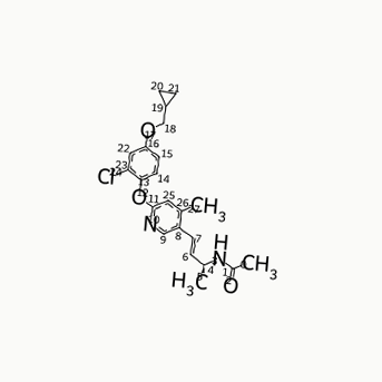 CC(=O)N[C@@H](C)/C=C/c1cnc(Oc2ccc(OCC3CC3)cc2Cl)cc1C